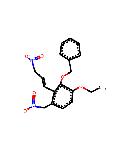 CCOc1ccc(C[N+](=O)[O-])c(/C=C/C[N+](=O)[O-])c1OCc1ccccc1